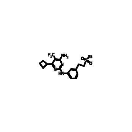 CCS(=O)(=O)CCc1cccc(Nc2nc(N)c(C(F)(F)F)c(C3CCC3)n2)c1